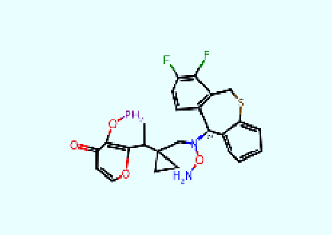 CC(c1occc(=O)c1OP)C1(CN(ON)[C@@H]2c3ccccc3SCc3c2ccc(F)c3F)CC1